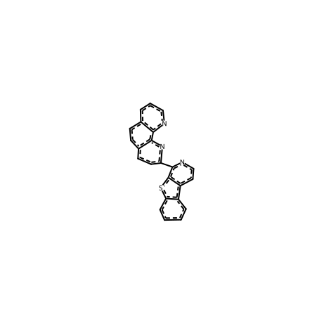 c1cnc2c(c1)ccc1ccc(-c3nccc4c3sc3ccccc34)nc12